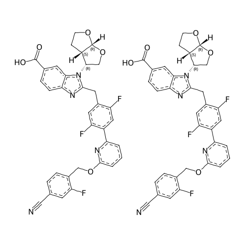 N#Cc1ccc(COc2cccc(-c3cc(F)c(Cc4nc5ccc(C(=O)O)cc5n4[C@H]4CO[C@H]5OCC[C@H]54)cc3F)n2)c(F)c1.N#Cc1ccc(COc2cccc(-c3cc(F)c(Cc4nc5ccc(C(=O)O)cc5n4[C@H]4CO[C@H]5OCC[C@H]54)cc3F)n2)c(F)c1